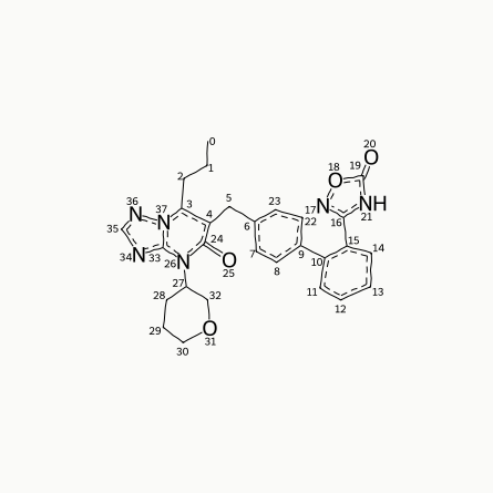 CCCc1c(Cc2ccc(-c3ccccc3-c3noc(=O)[nH]3)cc2)c(=O)n(C2CCCOC2)c2ncnn12